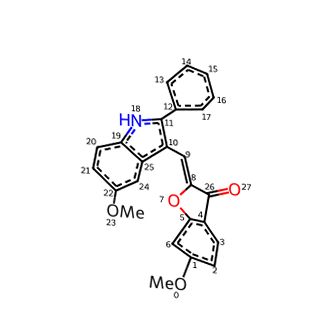 COc1ccc2c(c1)O/C(=C\c1c(-c3ccccc3)[nH]c3ccc(OC)cc13)C2=O